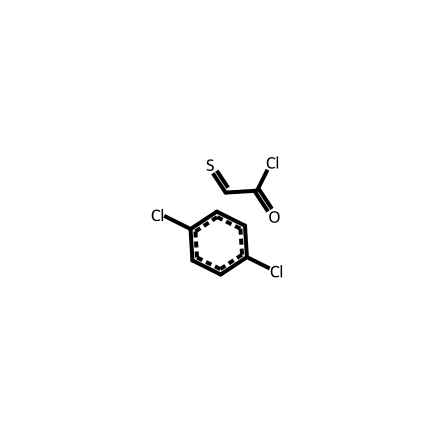 Clc1ccc(Cl)cc1.O=C(Cl)C=S